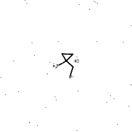 CC(C)CC1(P)CC1.Cl